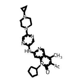 CC(=O)c1c(C)c2cnc(Nc3cnc(N4CCN(C5CC5)CC4)cn3)cc2n(C2CCCC2)c1=O